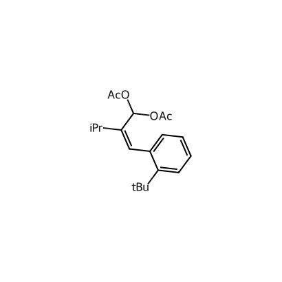 CC(=O)OC(OC(C)=O)C(=Cc1ccccc1C(C)(C)C)C(C)C